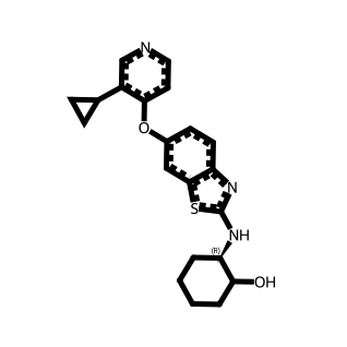 OC1CCCC[C@H]1Nc1nc2ccc(Oc3ccncc3C3CC3)cc2s1